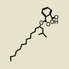 CCCCCCCCCCCCC(CC(C)C)OC(=O)c1ccccc1C(=O)O